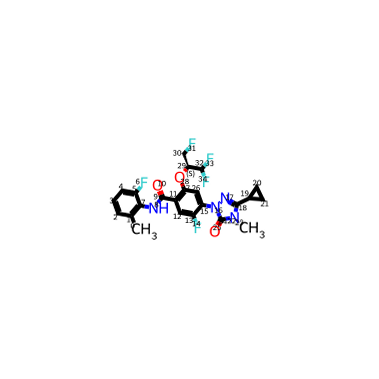 Cc1cccc(F)c1NC(=O)c1cc(F)c(-n2nc(C3CC3)n(C)c2=O)cc1O[C@@H](CF)C(F)F